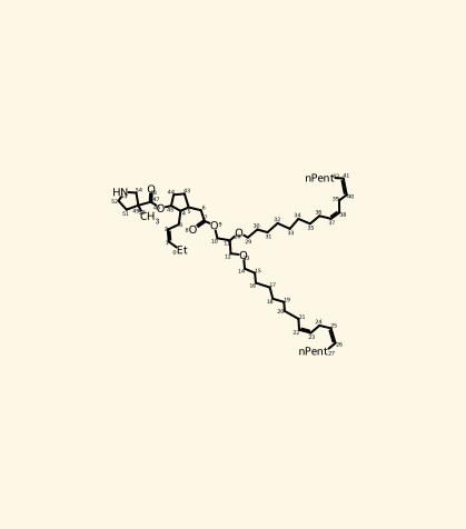 CC/C=C\CC1C(CC(=O)OCC(COCCCCCCCC/C=C\C/C=C\CCCCC)OCCCCCCCC/C=C\C/C=C\CCCCC)CCC1OC(=O)C1(C)CCNC1